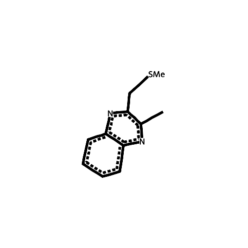 CSCc1nc2ccccc2nc1C